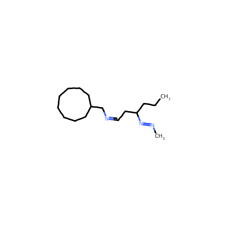 CCCC(C/C=N\CC1CCCCCCCC1)/N=N/C